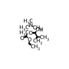 C=C(C)C(=O)O.C=COC(C)=O.CN(C)C